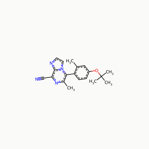 Cc1cc(OC(C)(C)C)ccc1-c1c(C)nc(C#N)c2nccn12